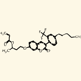 C=CC(=O)OC(C)CCOc1ccc2cc(-c3ccc(CCCCC)cc3C(F)(F)F)c(=O)oc2c1